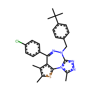 Cc1sc2c(c1C)C(c1ccc(Cl)cc1)=NN(Cc1ccc(C(C)(C)C)cc1)c1nnc(C)n1-2